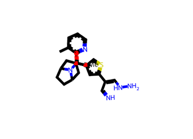 COC1(c2ncccc2C)CC2CCC(C1)N2C(=O)c1csc(/C(C=N)=C/NN)c1